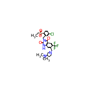 CCS(=O)(=O)c1ccc(Cl)cc1Cn1c(=O)[nH]c2cc(CN3CCC(N(C)C)C3)c(C(F)(F)F)cc2c1=O